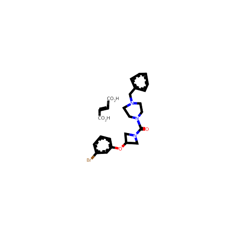 O=C(N1CCN(Cc2ccccc2)CC1)N1CC(Oc2cccc(Br)c2)C1.O=C(O)C=CC(=O)O